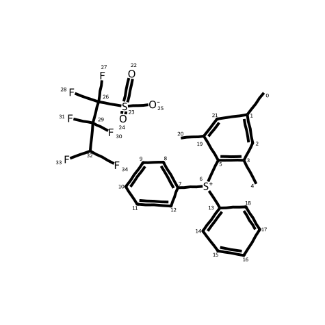 Cc1cc(C)c([S+](c2ccccc2)c2ccccc2)c(C)c1.O=S(=O)([O-])C(F)(F)C(F)(F)C(F)F